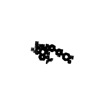 BC(B)(B)N1C(=O)c2cccc(OC(F)F)c2[C@H]2C[C@@H]1c1nc3ccc(-c4cnc(N5CCNC(=O)CC5)nc4)cc3n12